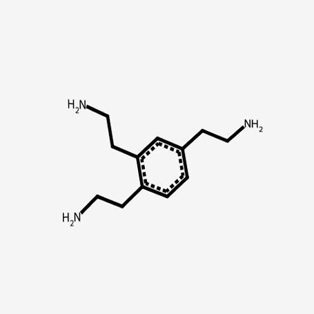 NCCc1ccc(CCN)c(CCN)c1